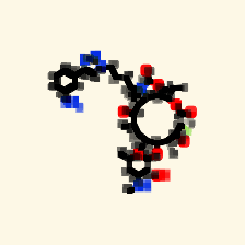 CC[C@H]1OC(=O)[C@@](C)(F)C(=O)[C@H](C)[C@@H](O[C@@H]2O[C@H](C)C[C@H](NC)[C@H]2O)[C@@H](C)C[C@@H](C)C(=O)[C@H](C)[C@H]2N(CCCCn3cc(-c4cccc(N)c4)nn3)C(=O)O[C@]12C